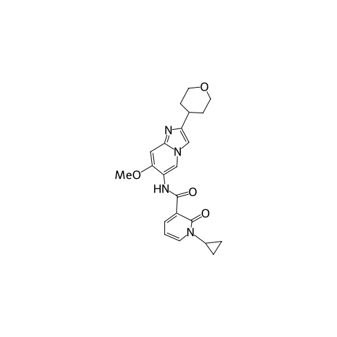 COc1cc2nc(C3CCOCC3)cn2cc1NC(=O)c1cccn(C2CC2)c1=O